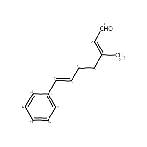 CC(=CC=O)CCC=Cc1ccccc1